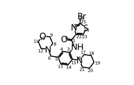 O=C(Nc1cc(CN2CCOCC2)ccc1N1CCCCC1)c1csc(Br)n1